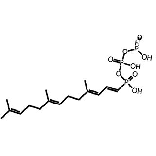 CC(C)=CCC/C(C)=C/CC/C(C)=C/C=C/P(=O)(O)OP(=O)(O)O[PH](=O)O